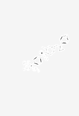 CC1CN(CC2(c3ccncc3)CC2)CCN1S(=O)(=O)c1ccc(C(O)(C(F)(F)F)C(F)(F)F)cc1